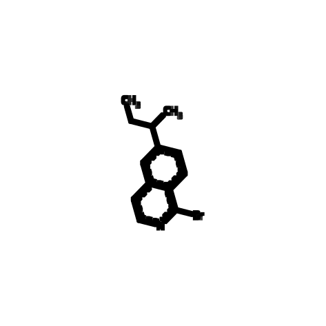 CCC(C)c1ccc2c(Br)nccc2c1